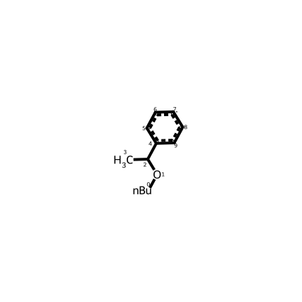 CCCCOC(C)c1cc[c]cc1